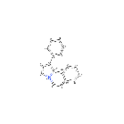 c1ccc(-c2ccn3ccc4ccccc4c23)cc1